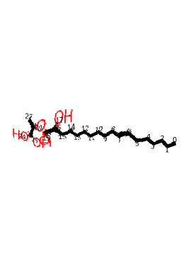 CCCCCCCCCCCCCCCCC(O)C(=O)OC(C)C(O)O